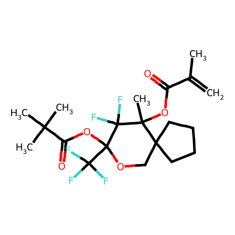 C=C(C)C(=O)OC1(C)C2(CCCC2)COC(OC(=O)C(C)(C)C)(C(F)(F)F)C1(F)F